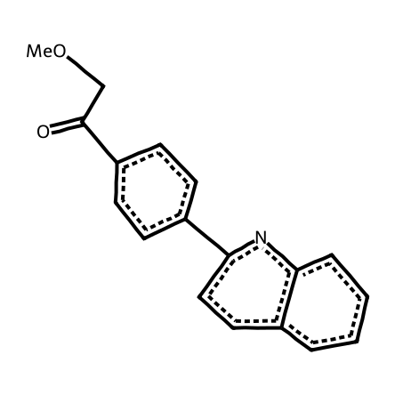 COCC(=O)c1ccc(-c2ccc3ccccc3n2)cc1